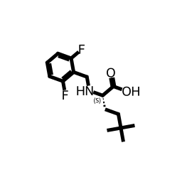 CC(C)(C)CC[C@H](NCc1c(F)cccc1F)C(=O)O